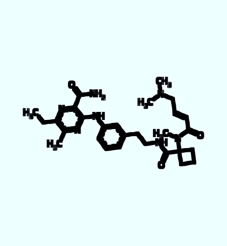 CCc1nc(C(N)=O)c(Nc2cccc(CCNC(=O)C3(N(C)C(=O)/C=C/CN(C)C)CCC3)c2)nc1C